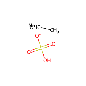 CC=O.O=S(=O)([O-])O.[Na+]